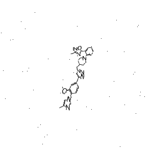 COc1cc(-c2cn(CC3CCN(c4ccccc4-c4nc(C)no4)CC3)nn2)ccc1-n1cnc(C)c1